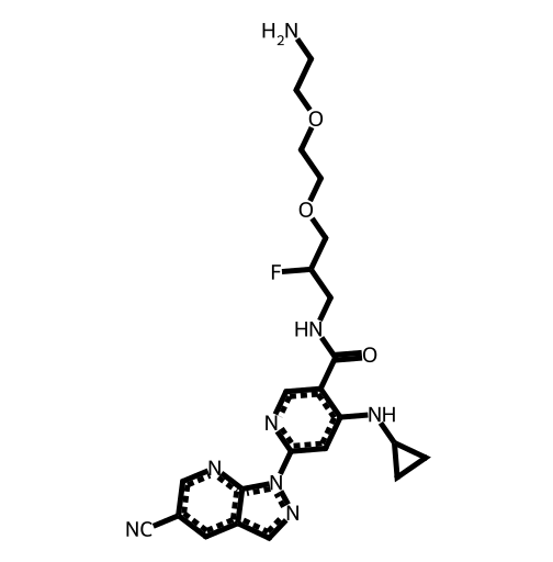 N#Cc1cnc2c(cnn2-c2cc(NC3CC3)c(C(=O)NCC(F)COCCOCCN)cn2)c1